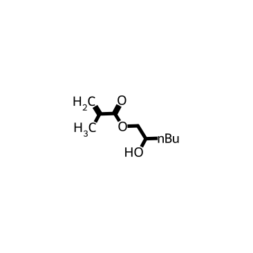 C=C(C)C(=O)OCC(O)CCCC